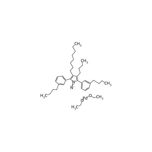 CCCCCCCCC1=C(c2cccc(CCCC)c2)[N+](=[N-])C(c2cccc(CCCC)c2)=C1CCCC.CC[O][Pd][O]CC